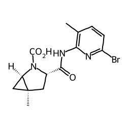 Cc1ccc(Br)nc1NC(=O)[C@@H]1C[C@@]2(C)C[C@H]2N1C(=O)O